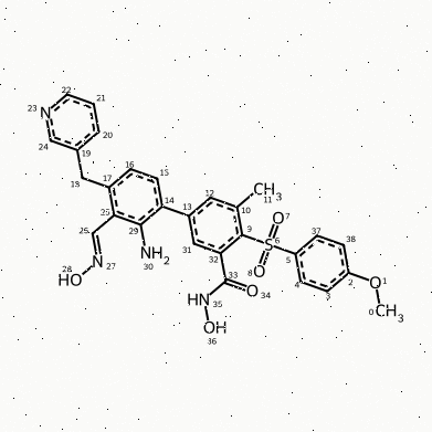 COc1ccc(S(=O)(=O)c2c(C)cc(-c3ccc(Cc4cccnc4)c(C=NO)c3N)cc2C(=O)NO)cc1